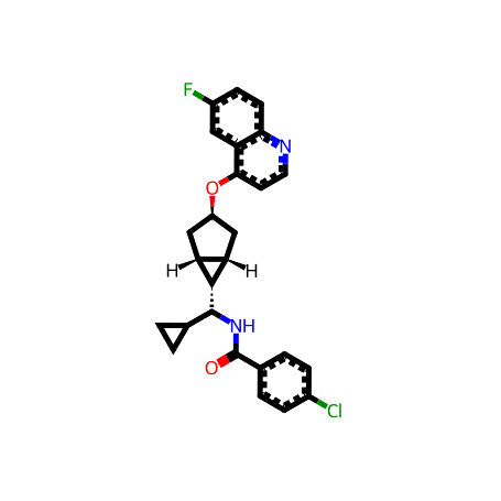 O=C(NC(C1CC1)[C@@H]1[C@@H]2C[C@@H](Oc3ccnc4ccc(F)cc34)C[C@@H]21)c1ccc(Cl)cc1